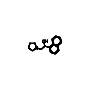 OC(CN1CCCC1)c1cccc2ccccc12